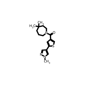 Cn1cc(-c2cc(C(=O)N3CCCC(C)(C)CC3)cs2)cn1